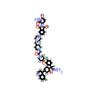 CC(C(N)=O)(c1ccc(Cl)c(OC2CCN(C(=O)CN3CCC(CN4CCN(c5ccc6c(c5)C(=O)N(C5CCC(=O)NC5=O)C6=O)CC4)CC3)CC2)c1)C1CCC(c2ccnc3ccc(F)cc23)CC1